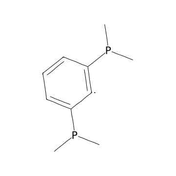 CP(C)c1[c]c(P(C)C)ccc1